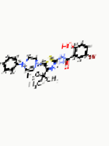 CC(C)(C)c1nc(NC(=O)c2cc(Br)ccc2O)sc1N1CCN(c2ccccc2)CC1